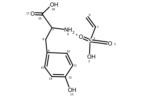 C=CS(=O)(=O)O.NC(Cc1ccc(O)cc1)C(=O)O